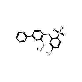 COc1nc(-c2ccccc2)ccc1Cc1cc(C)ccc1S(=O)(=O)O